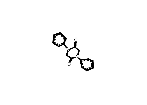 O=C1CN(c2ccccc2)C(=O)CN1c1ccccc1